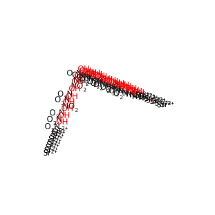 O=[N+]([O-])O.O=[N+]([O-])O.O=[N+]([O-])O.O=[N+]([O-])O.O=[N+]([O-])O.O=[N+]([O-])O.O=[N+]([O-])O.O=[N+]([O-])O.O=[N+]([O-])O.O=[N+]([O-])O.O=[N+]([O-])O.O=[N+]([O-])O.O=[N+]([O-])O.O=[N+]([O-])O.O=[N+]([O-])O.O=[N+]([O-])O.O=[N+]([O-])O.O=[N+]([O-])O.O=[N+]([O-])O.O=[N+]([O-])O.O=[N+]([O-])O.O=[N+]([O-])O.O=[N+]([O-])O.O=[N+]([O-])O.O=[N+]([O-])O.O=[N+]([O-])O.O=[N+]([O-])O.O=[N+]([O-])O.O=[N+]([O-])O.O=[N+]([O-])O.[Sr+2].[Sr+2].[Sr+2].[Sr+2].[Sr+2].[Sr+2].[Sr+2].[Sr+2].[Sr+2].[Sr+2].[Sr+2].[Sr+2].[Sr+2].[Sr+2].[Sr+2].[Sr+2].[Sr+2].[Sr+2].[Sr+2].[Sr+2]